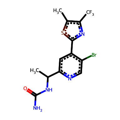 Cc1sc(-c2cc(C(C)NC(N)=O)ncc2Br)nc1C(F)(F)F